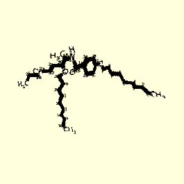 CCCCCCCCCCOc1ccc(C(=O)NC(C)C(C[CH2][Cr][CH2]CC)OCCCCCCCCCC)cc1